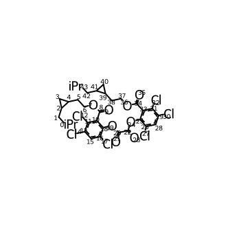 CC(C)CC1CC1CCOC(=O)c1c(Cl)c(Cl)cc(Cl)c1OC(=O)C(=O)Oc1c(Cl)cc(Cl)c(Cl)c1C(=O)OCCC1CC1CC(C)C